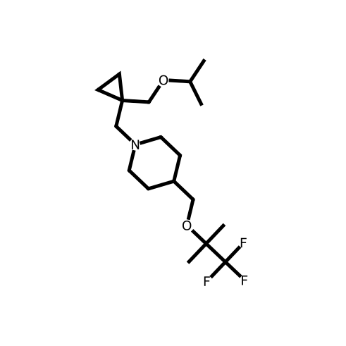 CC(C)OCC1(CN2CCC(COC(C)(C)C(F)(F)F)CC2)CC1